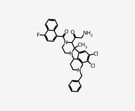 CC1(c2ccc(Cl)c(Cl)c2)C(C(=O)CN)N(C(=O)c2ccc(F)c3ccccc23)CCN1C1CCN(Cc2ccccc2)CC1